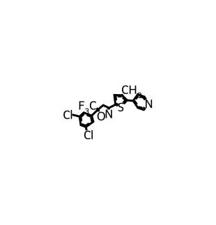 Cc1cc(C2=NOC(c3cc(Cl)cc(Cl)c3)(C(F)(F)F)C2)sc1-c1ccncc1